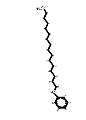 [CH2]CCCCCCCCCCCCCCCOc1ccccc1